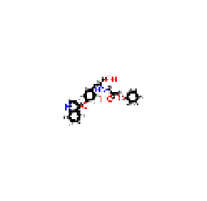 OC[C@H](Cc1ccc(Oc2ccnc3ccccc23)cc1)NCC(O)COc1ccccc1